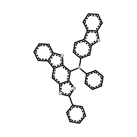 c1ccc(-c2nc3c(N(c4ccccc4)c4ccc5c(c4)sc4ccccc45)c4oc5ccccc5c4cc3o2)cc1